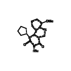 CCCCn1c(=O)c2cnc3c(OC)cccc3c2n(C2CCCC2)c1=O